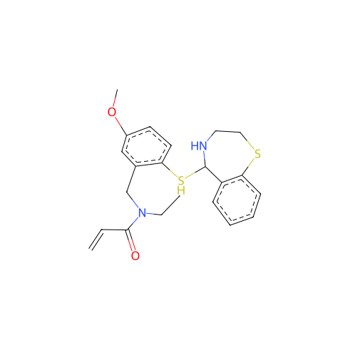 C=CC(=O)N1CC[SH](C2NCCSc3ccccc32)c2ccc(OC)cc2C1